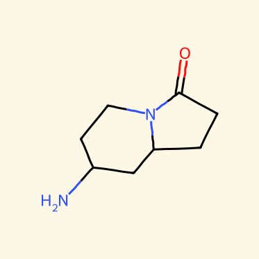 NC1CCN2C(=O)CCC2C1